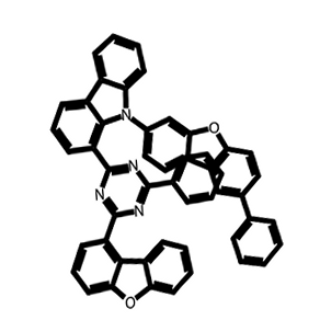 c1ccc(-c2ccc3oc4cc(-n5c6ccccc6c6cccc(-c7nc(-c8ccccc8)nc(-c8cccc9oc%10ccccc%10c89)n7)c65)ccc4c3c2)cc1